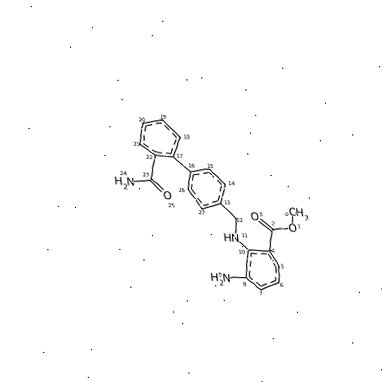 COC(=O)c1cccc(N)c1NCc1ccc(-c2ccccc2C(N)=O)cc1